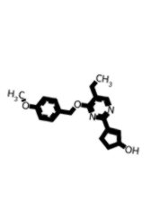 CCc1cnc(C2=CC(O)CC2)nc1OCc1ccc(OC)cc1